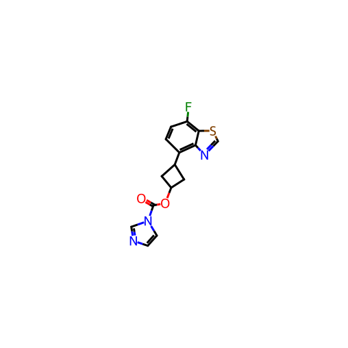 O=C(OC1CC(c2ccc(F)c3scnc23)C1)n1ccnc1